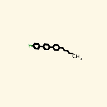 CCCCCCC1CCC(C2C=CC(c3ccc(F)cc3)=CC2)CC1